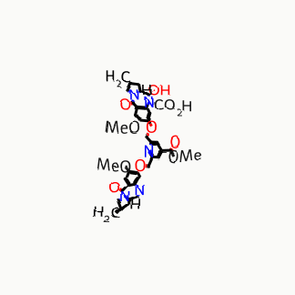 C=C1C[C@H]2C=Nc3cc(OCc4cc(C(=O)OC)cc(COc5cc6c(cc5OC)C(=O)N5CC(=C)C[C@H]5[C@H](O)N6C(=O)O)n4)c(OC)cc3C(=O)N2C1